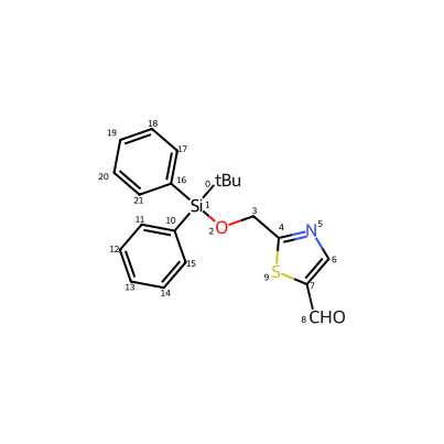 CC(C)(C)[Si](OCc1ncc(C=O)s1)(c1ccccc1)c1ccccc1